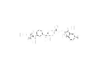 Cc1c(CCC(=O)N2CC3C(C2)C3(C)c2cccc(NS(C)(=O)=O)c2)[nH]c2ccc(F)cc12